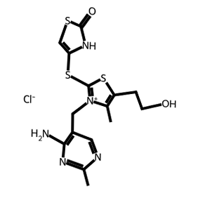 Cc1ncc(C[n+]2c(Sc3csc(=O)[nH]3)sc(CCO)c2C)c(N)n1.[Cl-]